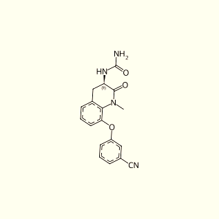 CN1C(=O)[C@H](NC(N)=O)Cc2cccc(Oc3cccc(C#N)c3)c21